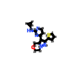 c1csc(-c2nn3c(c2-c2ccnc(NC4CC4)n2)COCC3)c1